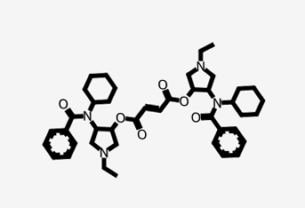 CCN1CC(OC(=O)/C=C/C(=O)OC2CN(CC)CC2N(C(=O)c2ccccc2)C2CCCCC2)C(N(C(=O)c2ccccc2)C2CCCCC2)C1